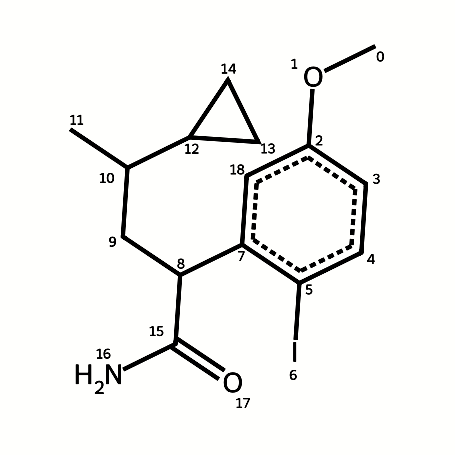 COc1ccc(I)c(C(CC(C)C2CC2)C(N)=O)c1